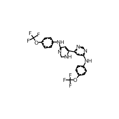 FC(F)(F)Oc1ccc(NC2=NCNC(c3cc(Nc4ccc(OC(F)(F)F)cc4)ncn3)=C2)cc1